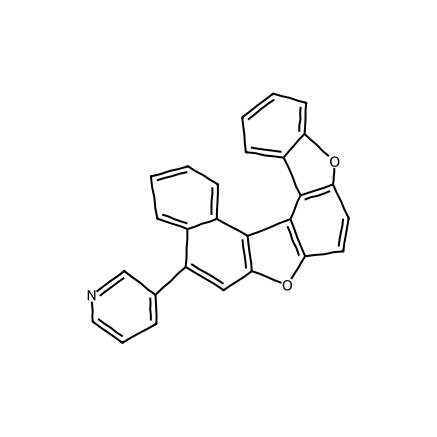 c1cncc(-c2cc3oc4ccc5oc6ccccc6c5c4c3c3ccccc23)c1